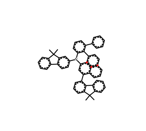 CC1(C)c2ccccc2-c2ccc(N(c3cc(-c4cccc5c4-c4ccccc4C5(C)C)c4ccccc4c3)c3cccc(-c4ccccc4)c3-c3ccccc3)cc21